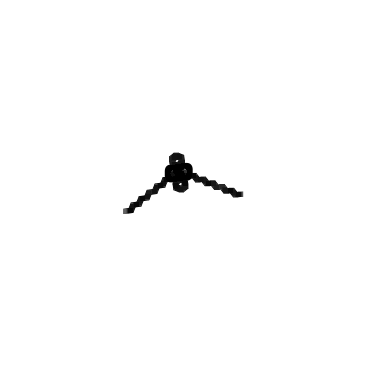 CCCCCCCCCCCCOS(OCCCCCCCCCCCC)(c1ccccc1)c1ccccc1